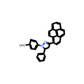 O=Cc1ccc(N2N=C(c3ccc4ccc5cccc6ccc3c4c56)CC2c2ccccc2)cc1